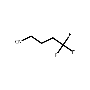 [C-]#[N+]CCCC(F)(F)F